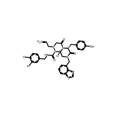 C=CCN1CC(=O)N2[C@@H](Cc3ccc(O)cc3)C(=O)N(Cc3cccc4scnc34)C[C@@H]2N1C(=O)NCc1ccc(Cl)c(Cl)c1